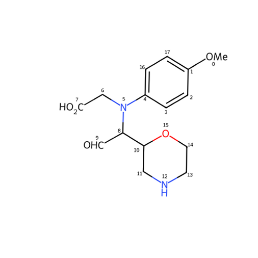 COc1ccc(N(CC(=O)O)C(C=O)C2CNCCO2)cc1